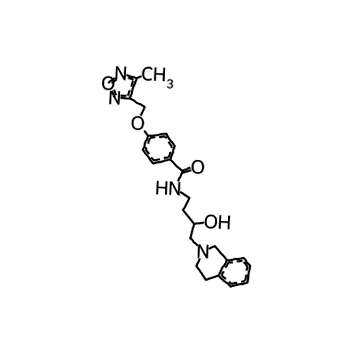 Cc1nonc1COc1ccc(C(=O)NCCC(O)CN2CCc3ccccc3C2)cc1